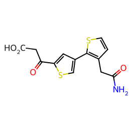 NC(=O)Cc1ccsc1-c1csc(C(=O)CC(=O)O)c1